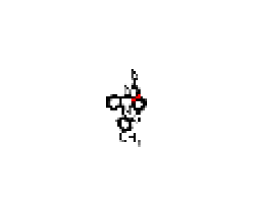 CC1C=CC2=C(C1)Sc1ccccc1N2C1CCC=CC1c1cccc(C#N)n1